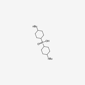 CCCCC1CCC(P(=O)(O)C2CCC(CCCC)CC2)CC1